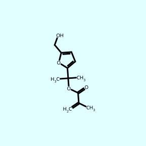 C=C(C)C(=O)OC(C)(C)c1ccc(CO)o1